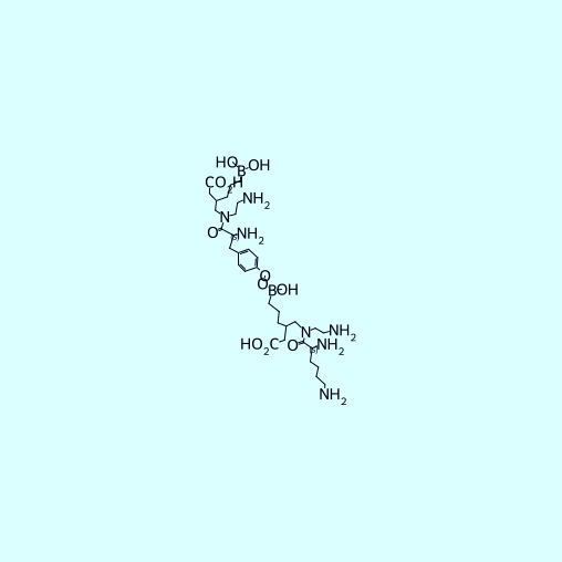 NCCCC[C@H](N)C(=O)N(CCN)CC(CCCB(O)OOc1ccc(C[C@H](N)C(=O)N(CCN)CC(CCCB(O)O)CC(=O)O)cc1)CC(=O)O